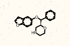 c1ccc(C(Oc2ccc3occc3c2)[C@@H]2CNCCO2)cc1